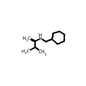 C=C(NCC1CCCCC1)C(C)C